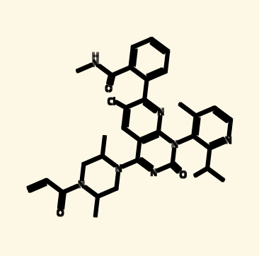 C=CC(=O)N1CC(C)N(c2nc(=O)n(-c3c(C)ccnc3C(C)C)c3nc(-c4ccccc4C(=O)NC)c(Cl)cc23)CC1C